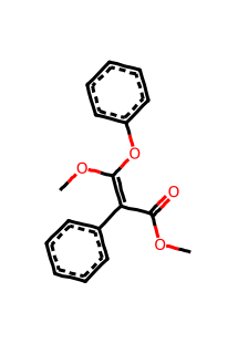 COC(=O)C(=C(OC)Oc1ccccc1)c1ccccc1